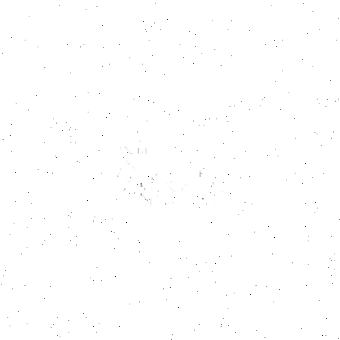 Cc1ccc(C(=O)NC2CC2)cc1-n1cnc2ccc(OC[C@@]3(C)CCCN3)cc2c1=O